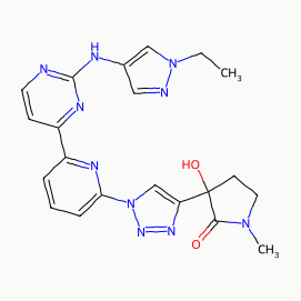 CCn1cc(Nc2nccc(-c3cccc(-n4cc(C5(O)CCN(C)C5=O)nn4)n3)n2)cn1